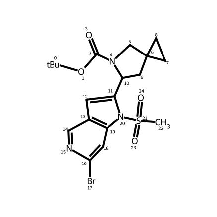 CC(C)(C)OC(=O)N1CC2(CC2)CC1c1cc2cnc(Br)cc2n1S(C)(=O)=O